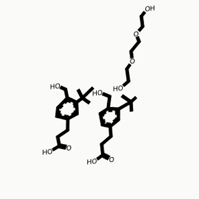 CC(C)(C)c1cc(CCC(=O)O)ccc1CO.CC(C)(C)c1cc(CCC(=O)O)ccc1CO.OCCOCCOCCO